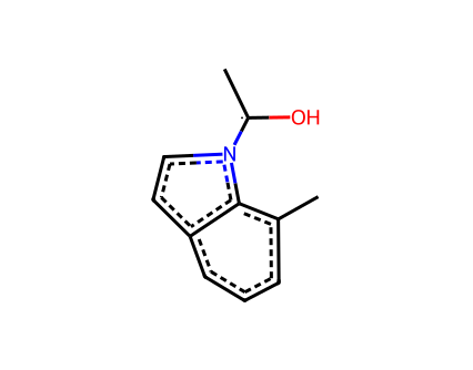 C[C](O)n1ccc2cccc(C)c21